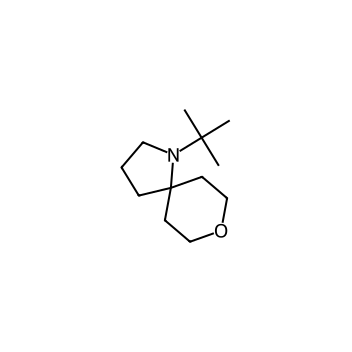 CC(C)(C)N1CCCC12CCOCC2